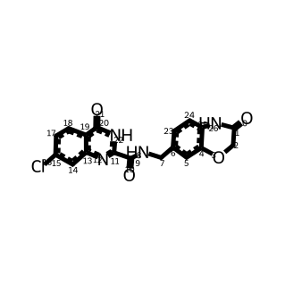 O=C1COc2cc(CNC(=O)c3nc4cc(Cl)ccc4c(=O)[nH]3)ccc2N1